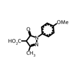 COc1ccc(N2N=C(C)C(C(=O)O)C2=O)cc1